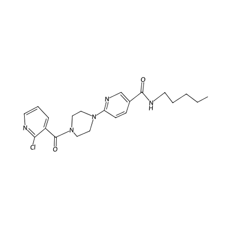 CCCCCNC(=O)c1ccc(N2CCN(C(=O)c3cccnc3Cl)CC2)nc1